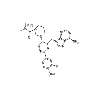 COc1ccc(-c2cc(Cn3cnc4c(N)ncnc43)c(N3CCC[C@](N)(C(=O)N(C)C)C3)cn2)cc1F